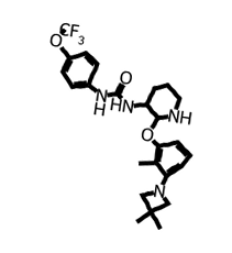 Cc1c(OC2NCCCC2NC(=O)Nc2ccc(OC(F)(F)F)cc2)cccc1N1CC(C)(C)C1